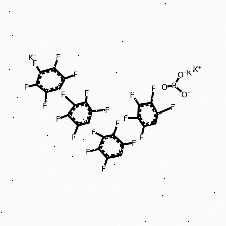 Fc1cc(F)c(F)c(F)c1F.Fc1cc(F)c(F)c(F)c1F.Fc1cc(F)c(F)c(F)c1F.Fc1cc(F)c(F)c(F)c1F.[K+].[K+].[K+].[O-]B([O-])[O-]